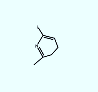 CC1=NC(I)=CCC1